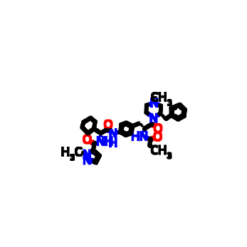 CCC(=O)N[C@H](Cc1ccc(NC(=O)[C@@H](NC(=O)c2ccnn2C)C2CCCCC2)cc1)C(=O)N1CCN(C)C[C@H]1Cc1ccccc1